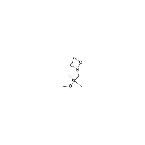 CO[Si](C)(C)CN1OCO1